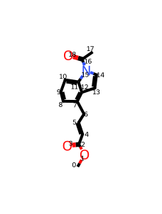 COC(=O)C=CCc1cccc2c1ccn2C(C)=O